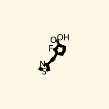 O=C(O)c1cccc(C#Cc2cscn2)c1F